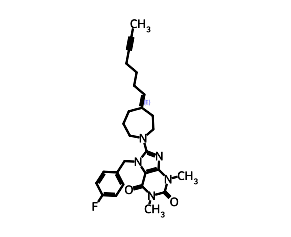 CC#CCCC/C=C1\CCCN(c2nc3c(c(=O)n(C)c(=O)n3C)n2Cc2ccc(F)cc2)CC1